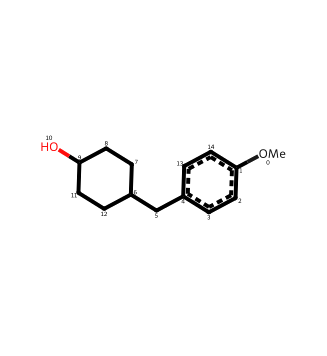 COc1ccc(CC2CCC(O)CC2)cc1